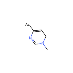 CC(=O)C1=CCN(C)C=N1